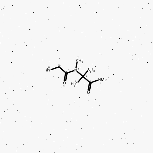 CNC(=O)C(C)(C)N(C)C(=O)CC(C)C